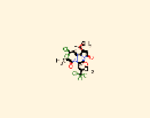 CCC(=O)N[C@H](C[C@H](C)C(Cl)(Cl)Cl)C(=O)N1C(=O)C=C(OC)[C@@H]1C[C@H](C)C(Cl)Cl